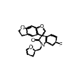 O=C1N(CC2CCCO2)C2=C(C=CC(F)C2)C12COc1cc3c(cc12)CCO3